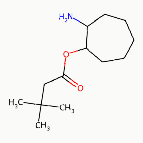 CC(C)(C)CC(=O)OC1CCCCCC1N